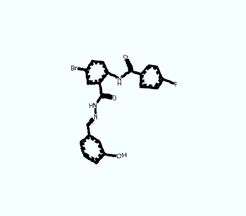 O=C(Nc1ccc(Br)cc1C(=O)N/N=C/c1cccc(O)c1)c1ccc(F)cc1